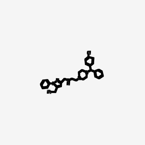 CC(C)Cc1cc(CNCCN2CCN(C(c3ccccc3)c3ccc(Cl)cc3)CC2)nn1-c1ccccc1